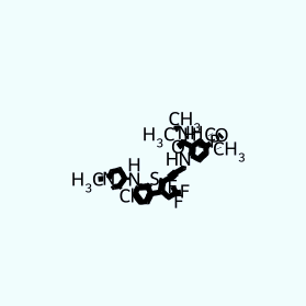 CC(C)NC(=O)c1cc(P(C)(C)=O)ccc1NCC#Cc1sc2c(N[C@@H]3CCN(C)C[C@@H]3Cl)cccc2c1CC(F)(F)F